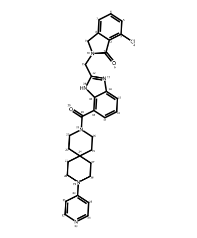 O=C1c2c(Cl)cccc2CN1Cc1nc2cccc(C(=O)N3CCC4(CC3)CCN(c3ccncc3)CC4)c2[nH]1